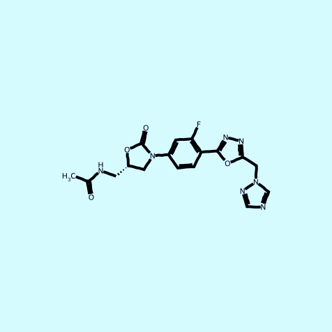 CC(=O)NC[C@H]1CN(c2ccc(-c3nnc(Cn4cncn4)o3)c(F)c2)C(=O)O1